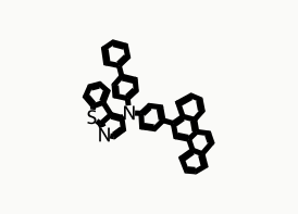 c1ccc(-c2ccc(N(c3ccc(-c4cc5c6ccccc6ccc5c5ccccc45)cc3)c3ccnc4sc5ccccc5c34)cc2)cc1